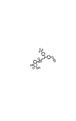 O=C(/C=C/C=C(/c1ccc(OC2COC2)cc1)c1ccc(C(F)(F)F)cc1)Nc1cccc2c1CC(O)C(=O)N2